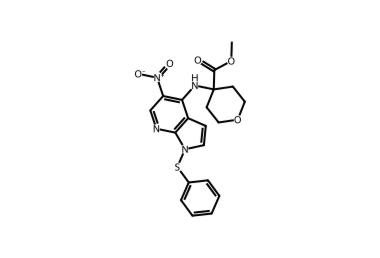 COC(=O)C1(Nc2c([N+](=O)[O-])cnc3c2ccn3Sc2ccccc2)CCOCC1